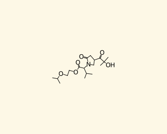 CC(C)OCCOC(=O)C(C(C)C)N1CC(C(=O)C(C)(C)O)CC1=O